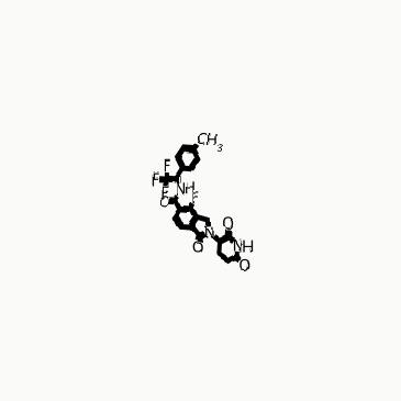 Cc1ccc([C@@H](NC(=O)c2ccc3c(c2F)CN(C2CCC(=O)NC2=O)C3=O)C(F)(F)F)cc1